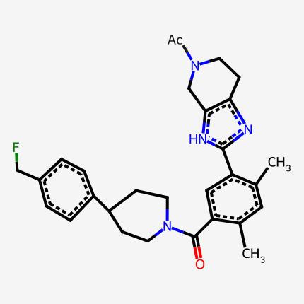 CC(=O)N1CCc2nc(-c3cc(C(=O)N4CCC(c5ccc(CF)cc5)CC4)c(C)cc3C)[nH]c2C1